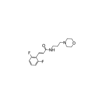 O=C(C=Cc1c(F)cccc1F)NCCCN1CCOCC1